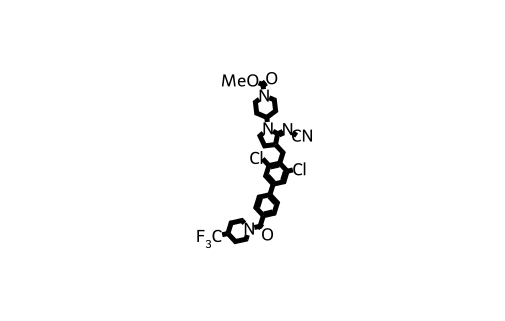 COC(=O)N1CCC(N2CCC(Cc3c(Cl)cc(-c4ccc(C(=O)N5CCC(C(F)(F)F)CC5)cc4)cc3Cl)C2=NC#N)CC1